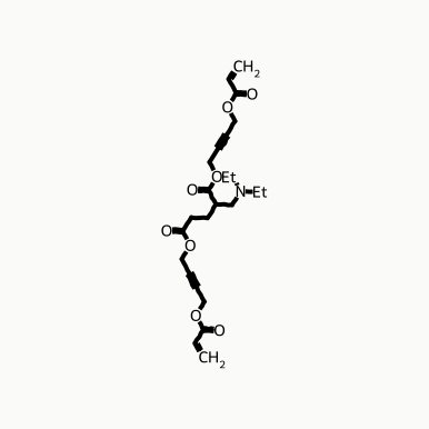 C=CC(=O)OCC#CCOC(=O)CCC(CN(CC)CC)C(=O)OCC#CCOC(=O)C=C